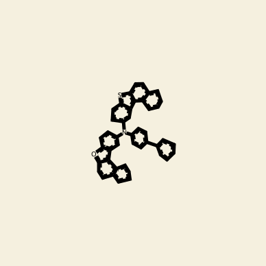 c1ccc(-c2ccc(N(c3ccc4oc5ccc6ccccc6c5c4c3)c3ccc4sc5ccc6ccccc6c5c4c3)cc2)cc1